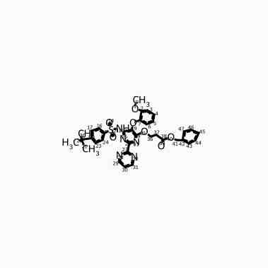 COc1ccccc1Oc1c(NS(=O)(=O)c2ccc(C(C)(C)C)cc2)nc(-c2ncccn2)nc1OCCC(=O)OCc1ccccc1